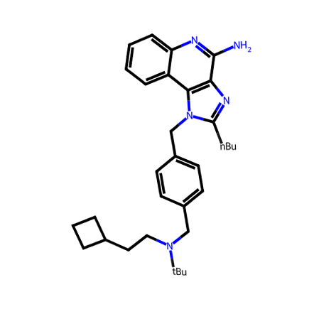 CCCCc1nc2c(N)nc3ccccc3c2n1Cc1ccc(CN(CCC2CCC2)C(C)(C)C)cc1